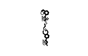 Cc1cc(-c2ccc3c(c2)CCN(CCCSc2nnc(-c4cccc5ccoc45)n2C)CC3)no1